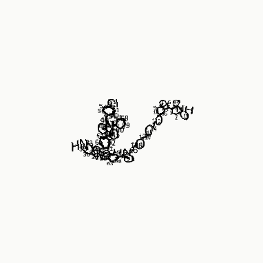 O=C1CCC(c2coc3ccc(OCCOCCOCCNC(=O)c4ccc(CN(CC5CCNCC5)S(=O)(=O)c5ccc(S(=O)(=O)N(Cc6ccc(Cl)cc6)C6CCCC6)cc5)cc4)cc23)C(=O)N1